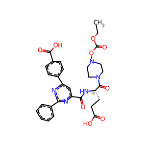 CCOC(=O)ON1CCN(C(=O)[C@H](CCC(=O)O)NC(=O)c2cc(-c3ccc(C(=O)O)cc3)nc(-c3ccccc3)n2)CC1